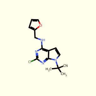 CC(C)(C#N)n1ccc2c(NCc3ccco3)nc(Cl)nc21